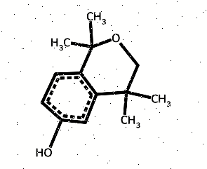 CC1(C)COC(C)(C)c2ccc(O)cc21